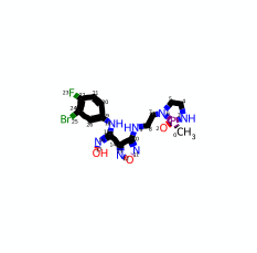 CP1(=O)NCCN1CCNc1nonc1C(=NO)Nc1ccc(F)c(Br)c1